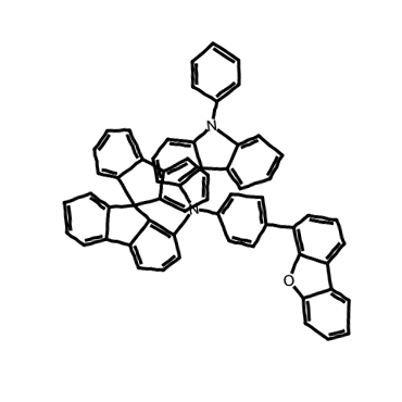 c1ccc(-n2c3ccccc3c3c(N(c4ccc(-c5cccc6c5oc5ccccc56)cc4)c4cccc5c4C4(c6ccccc6-c6ccccc64)c4ccccc4-5)cccc32)cc1